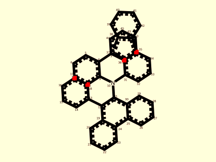 c1ccc(-c2ccccc2N(c2c(-c3ccccc3)c3ccccc3c3ccccc23)c2cccc3c2oc2ccccc23)cc1